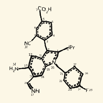 CC(C)c1c(-c2ccc(C(=O)O)cc2C#N)c2cc(N)c(C=N)cc2n1-c1ccc(F)cc1